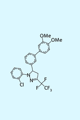 COc1ccc(-c2cccc(C3CC(C(F)(F)C(F)(F)F)=NN3c3ccccc3Cl)c2)cc1OC